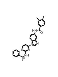 Cc1ccc(C(=O)Nc2ccc3c(c2)ncn3-c2ccnc(N[C@@H](C)c3ccccc3)n2)cc1C